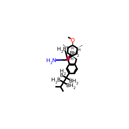 BC1(B)OC(N)=NC12c1cc(C(B)(B)C(B)(B)C(C)C)ccc1C[C@@]21C[C@@H](C)[C@H](OC)[C@@H](C)C1